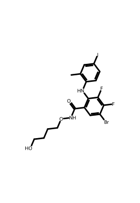 Cc1cc(I)ccc1Nc1c(C(=O)NOCCCCO)cc(Br)c(F)c1F